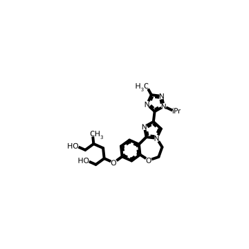 Cc1nc(-c2cn3c(n2)-c2ccc(OC(CO)CC(C)CO)cc2OCC3)n(C(C)C)n1